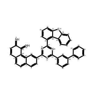 N=C1C=Cc2ccc3ccc(-c4nc(-c5cccc(-c6ccccc6)c5)nc(-c5cccc6sc7ccccc7c56)n4)cc3c2C1=N